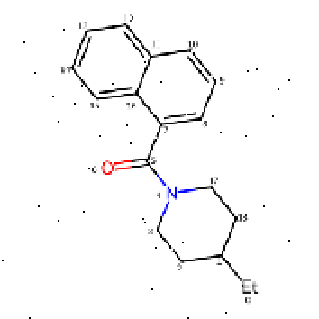 CCC1CCN(C(=O)c2cccc3ccccc23)CC1